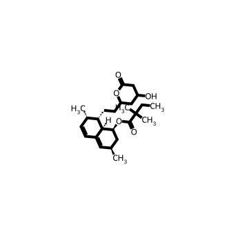 CCC(C)(C)C(=O)O[C@H]1C[C@@H](C)C=C2C=C[C@H](C)[C@H](CCC3CC(O)CC(=O)O3)[C@H]21